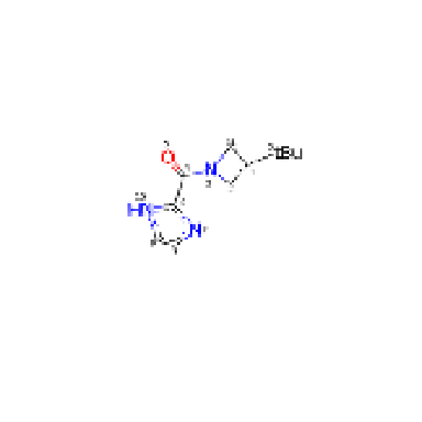 CC(C)(C)C1CN(C(=O)c2ncc[nH]2)C1